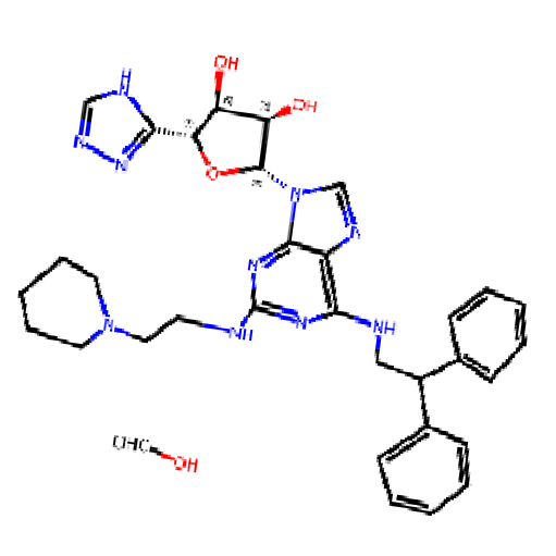 O=CO.O[C@@H]1[C@H](O)[C@@H](c2nnc[nH]2)O[C@H]1n1cnc2c(NCC(c3ccccc3)c3ccccc3)nc(NCCN3CCCCC3)nc21